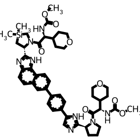 COC(=O)N[C@H](C(=O)N1CCC[C@H]1c1ncc(-c2ccc(-c3ccc4c(ccc5nc([C@@H]6C[Si](C)(C)CN6C(=O)[C@@H](NC(=O)OC)C6CCOCC6)[nH]c54)c3)cc2)[nH]1)C1CCOCC1